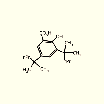 CCCC(C)(C)c1cc(C(=O)O)c(O)c(C(C)(C)CCC)c1